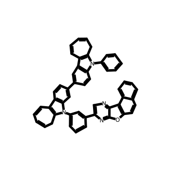 C1=CCc2c(c3cc(-c4ccc5c6c(n(-c7cccc(-c8cnc9c(n8)oc8ccc%10ccccc%10c89)c7)c5c4)CC=CC=C6)ccc3n2-c2ccccc2)C=C1